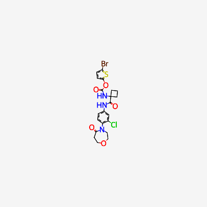 O=C(NC1(C(=O)Nc2ccc(N3CCOCCC3=O)c(Cl)c2)CCC1)Oc1ccc(Br)s1